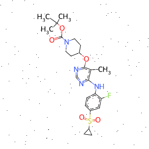 Cc1c(Nc2ccc(S(=O)(=O)C3CC3)cc2F)ncnc1OC1CCN(C(=O)OC(C)(C)C)CC1